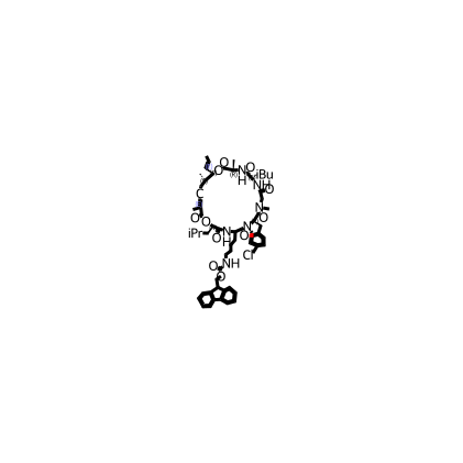 C/C=C/[C@H]1OC(=O)[C@@H](C)NC(=O)[C@H](C(C)CC)NC(=O)CN(C)C(=O)[C@@H](Cc2ccc(Cl)cc2)N(C)C(=O)C(CCCCNC(=O)OCC2c3ccccc3-c3ccccc32)NC(=O)[C@@H](CC(C)C)OC(=O)/C(C)=C/CC[C@@H]1C